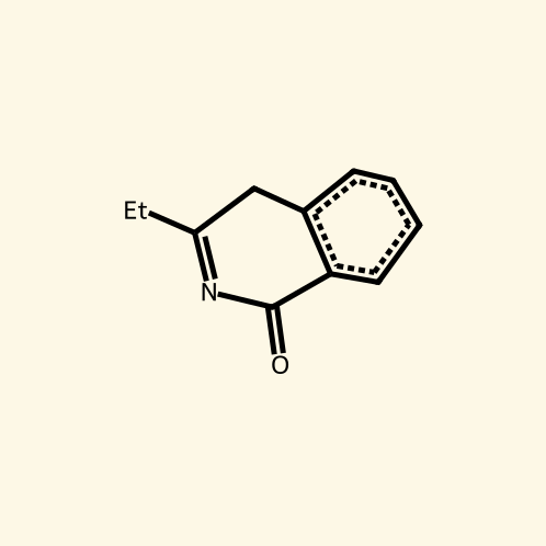 CCC1=NC(=O)c2ccccc2C1